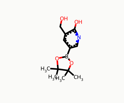 CC1(C)OB(c2cnc(O)c(CO)c2)OC1(C)C